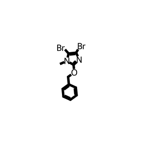 Cn1c(OCc2ccccc2)nc(Br)c1Br